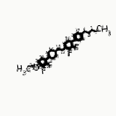 CCCCCc1ccc(-c2ccc(CCC3CC=C(c4ccc(OCC)c(F)c4F)CC3)c(F)c2F)cc1